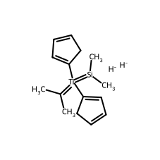 C[C](C)=[Ti]([C]1=CC=CC1)([C]1=CC=CC1)=[Si](C)C.[H-].[H-]